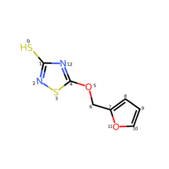 Sc1nsc(OCc2ccco2)n1